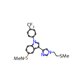 CNSc1ccc2c(c1)c(-c1cn(CCSC)cn1)cn2-c1ccc(C(F)(F)F)cc1